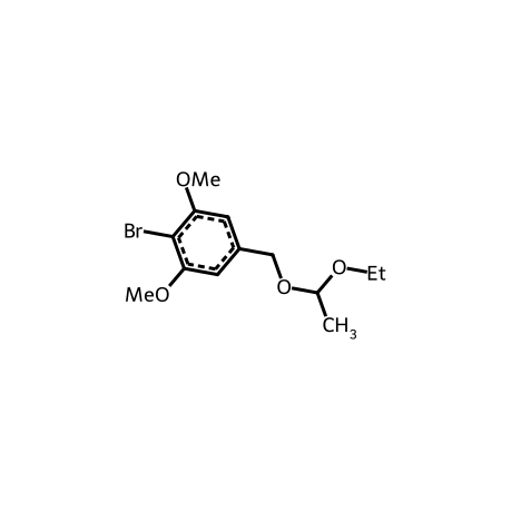 CCOC(C)OCc1cc(OC)c(Br)c(OC)c1